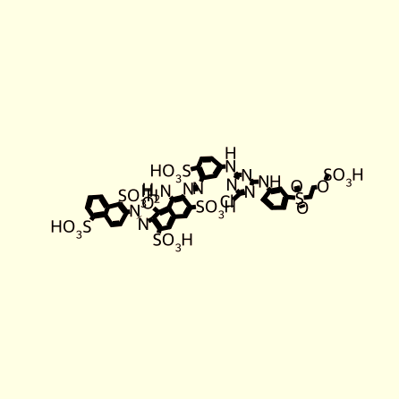 Nc1c(/N=N/c2cc(Nc3nc(Cl)nc(Nc4cccc(S(=O)(=O)CCOS(=O)(=O)O)c4)n3)ccc2S(=O)(=O)O)c(S(=O)(=O)O)cc2cc(S(=O)(=O)O)c(/N=N/c3ccc4c(S(=O)(=O)O)cccc4c3S(=O)(=O)O)c(O)c12